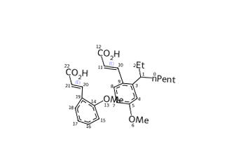 CCCCCC(CC)c1cc(OC)ccc1/C=C/C(=O)O.COc1ccccc1/C=C/C(=O)O